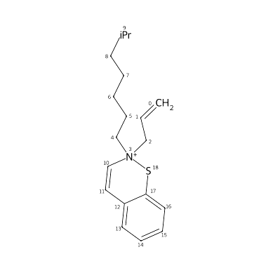 C=CC[N+]1(CCCCCC(C)C)C=Cc2ccccc2S1